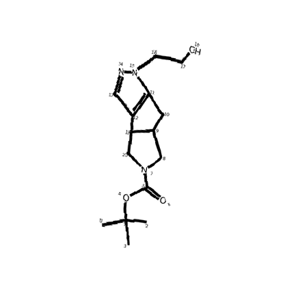 CC(C)(C)OC(=O)N1CC2Cc3c(cnn3CCO)C2C1